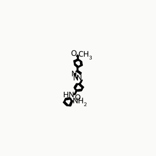 CC(=O)c1ccc(-c2cn(Cc3ccc(C(=O)Nc4ccccc4N)cc3)nn2)cc1